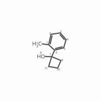 Cc1ccccc1C1(O)CCC1